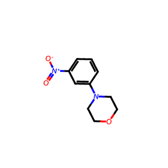 O=[N+]([O-])c1cccc(N2CCOCC2)c1